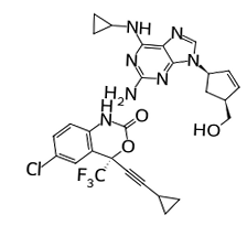 Nc1nc(NC2CC2)c2ncn([C@H]3C=C[C@@H](CO)C3)c2n1.O=C1Nc2ccc(Cl)cc2[C@@](C#CC2CC2)(C(F)(F)F)O1